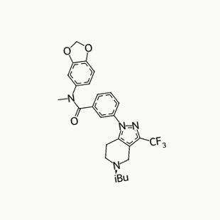 CC[C@H](C)N1CCc2c(c(C(F)(F)F)nn2-c2cccc(C(=O)N(C)c3ccc4c(c3)OCO4)c2)C1